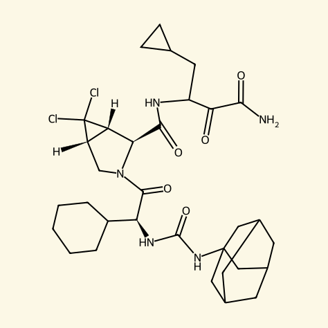 NC(=O)C(=O)C(CC1CC1)NC(=O)[C@@H]1[C@@H]2[C@H](CN1C(=O)[C@@H](NC(=O)NC13CC4CC(CC(C4)C1)C3)C1CCCCC1)C2(Cl)Cl